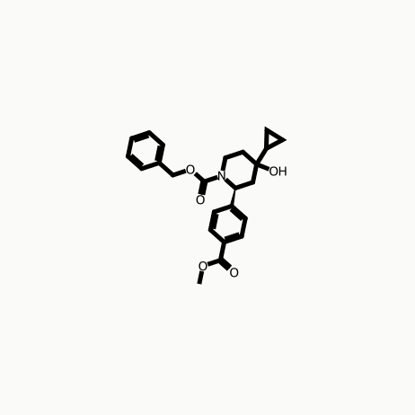 COC(=O)c1ccc([C@@H]2CC(O)(C3CC3)CCN2C(=O)OCc2ccccc2)cc1